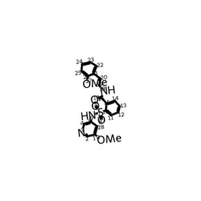 COc1cncc(NS(=O)(=O)c2ccccc2C(=O)NCCc2ccccc2OC)c1